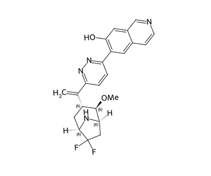 C=C(c1ccc(-c2cc3ccncc3cc2O)nn1)[C@H]1C[C@H]2N[C@H](CC2(F)F)[C@@H]1OC